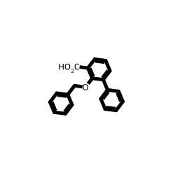 O=C(O)c1cccc(-c2ccccc2)c1OCc1ccccc1